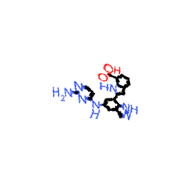 Nc1nccc(Nc2cc(-c3cc4cccc(C(=O)O)c4[nH]3)c3[nH]ncc3c2)n1